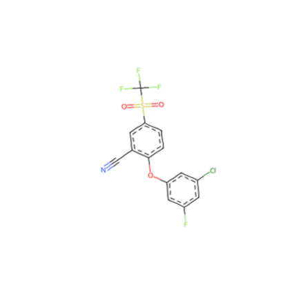 N#Cc1cc(S(=O)(=O)C(F)(F)F)ccc1Oc1cc(F)cc(Cl)c1